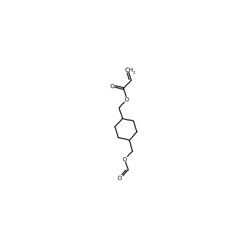 C=CC(=O)OCC1CCC(COC=O)CC1